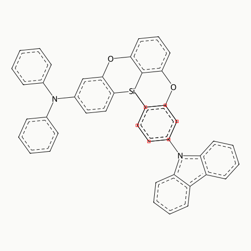 c1ccc(N(c2ccccc2)c2ccc3c(c2)Oc2cccc4c2[Si]3(c2ccccc2)c2ccc(-n3c5ccccc5c5ccccc53)cc2O4)cc1